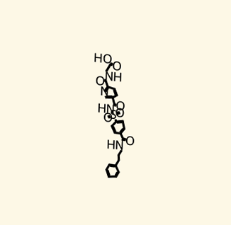 O=C(O)CNC(=O)c1ccc(C(=O)NS(=O)(=O)c2ccc(C(=O)NCCCc3ccccc3)cc2)cn1